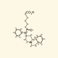 O=C(O)CCCCCC(=O)N(c1ccccc1)C1CCN2CCc3ccccc3C2C1